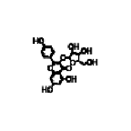 O=c1c(OC2O[C@H](CO)[C@H](O)[C@H]2O)c(-c2ccc(O)cc2)oc2cc(O)cc(O)c12